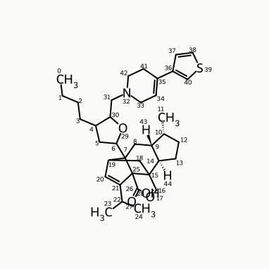 CCCCC1CC(C23C[C@@H]4[C@H](C)CC[C@H]4C4(C=O)CC2C=C(C(C)C)C34C(=O)O)OC1CN1CC=C(c2ccsc2)CC1